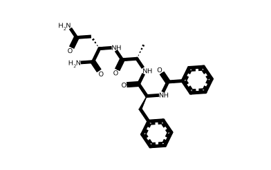 C[C@H](NC(=O)[C@H](Cc1ccccc1)NC(=O)c1ccccc1)C(=O)N[C@@H](CC(N)=O)C(N)=O